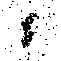 Cc1ccc(S(=O)(=O)OCCc2cc(C(F)(F)F)ccc2Br)cc1